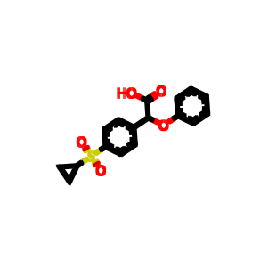 O=C(O)C(Oc1ccccc1)c1ccc(S(=O)(=O)C2CC2)cc1